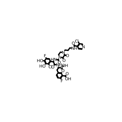 O=C(NCCCN1CCN(C(=O)NC(C(=O)N[C@H]2Cc3ccc(F)c(C(=O)O)c3OB2O)c2cc(F)c(O)c(O)c2Cl)C(=O)C1=O)c1ccncc1Cl